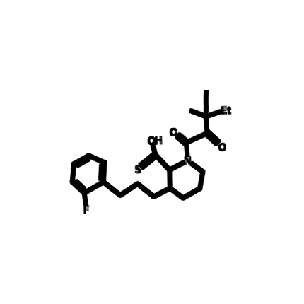 CCC(C)(C)C(=O)C(=O)N1CCCC(CCCc2ccccc2F)C1C(O)=S